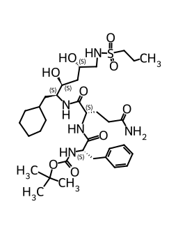 CCCS(=O)(=O)NC[C@@H](O)C[C@H](O)[C@H](CC1CCCCC1)NC(=O)[C@H](CCC(N)=O)NC(=O)[C@H](Cc1ccccc1)NC(=O)OC(C)(C)C